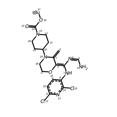 C=C1/C(=C(\N=C/N)Nc2ccc(Cl)nc2Cl)OCCN1C1CCN(C(=O)OC(C)(C)C)CC1